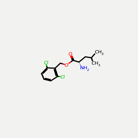 CC(C)C[C@H](N)C(=O)OCc1c(Cl)cccc1Cl